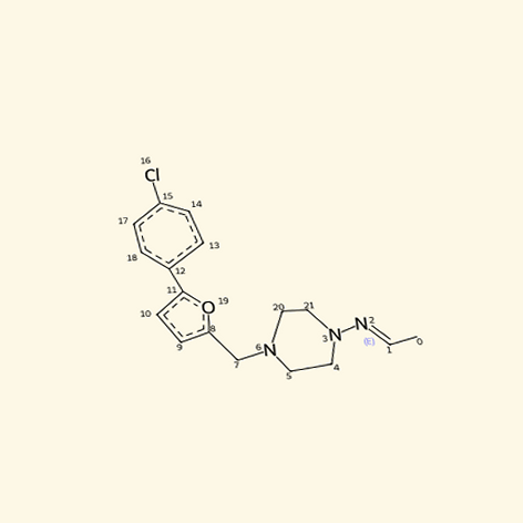 C/C=N/N1CCN(Cc2ccc(-c3ccc(Cl)cc3)o2)CC1